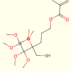 C=C(C)C(=O)OCCCC(CS)(OC)C(OC)(OC)[Si](OC)(OC)OC